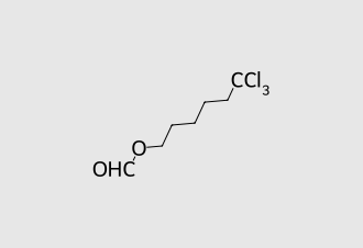 O=COCCCCCC(Cl)(Cl)Cl